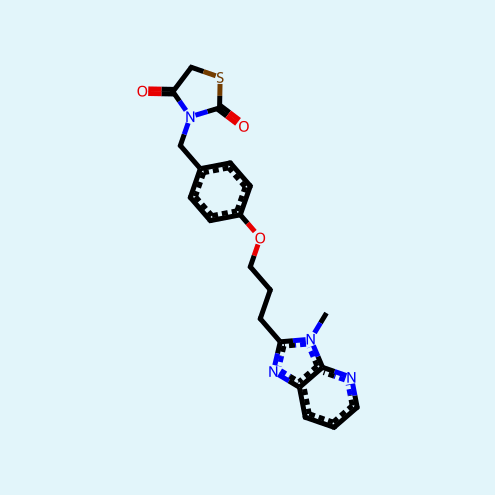 Cn1c(CCCOc2ccc(CN3C(=O)CSC3=O)cc2)nc2cccnc21